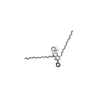 CCCCCCCCCCCCCCCC(=O)N[C@@H](COP1(=O)OCCO1)[C@@H](CCCCCCCCCCCCCCC)OC(=O)c1ccccc1